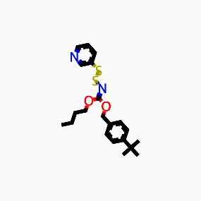 CCCCO/C(=N\SSc1cccnc1)OCc1ccc(C(C)(C)C)cc1